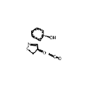 C=C=O.O=C1C=NSC1.Oc1ccccc1